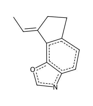 C/C=C1\CCc2ccc3ncoc3c21